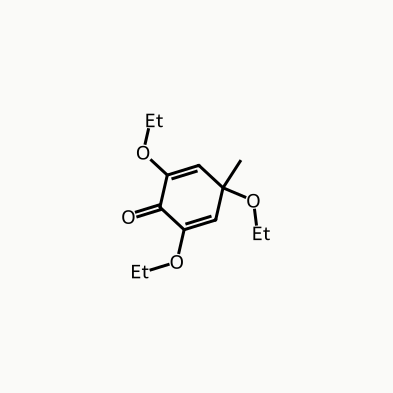 CCOC1=CC(C)(OCC)C=C(OCC)C1=O